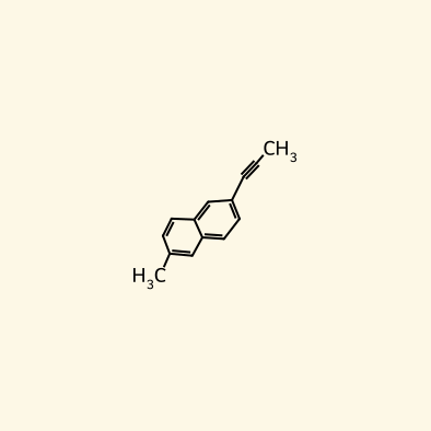 CC#Cc1ccc2cc(C)ccc2c1